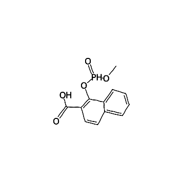 CO[PH](=O)Oc1c(C(=O)O)ccc2ccccc12